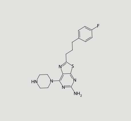 Nc1nc(N2CCNCC2)c2nc(CCCc3ccc(F)cc3)sc2n1